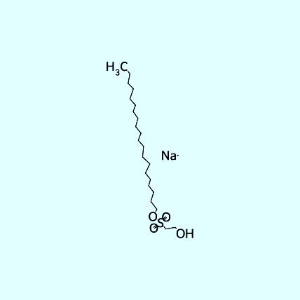 CCCCCCCCCCCCCCCCCCCCOS(=O)(=O)CCO.[Na]